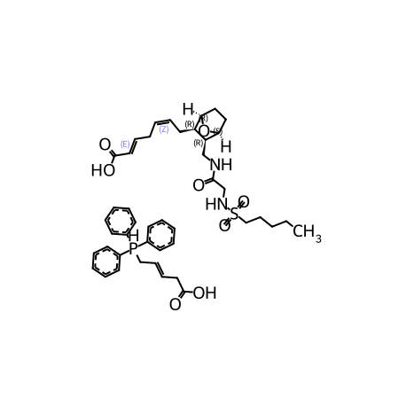 CCCCCS(=O)(=O)NCC(=O)NC[C@H]1[C@@H](C/C=C\C/C=C/C(=O)O)[C@H]2CC[C@@H]1O2.O=C(O)CC=CC[PH](c1ccccc1)(c1ccccc1)c1ccccc1